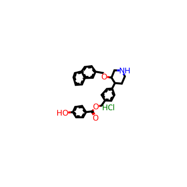 Cl.O=C(OCc1ccc(C2CCNCC2OCc2ccc3ccccc3c2)cc1)c1ccc(O)cc1